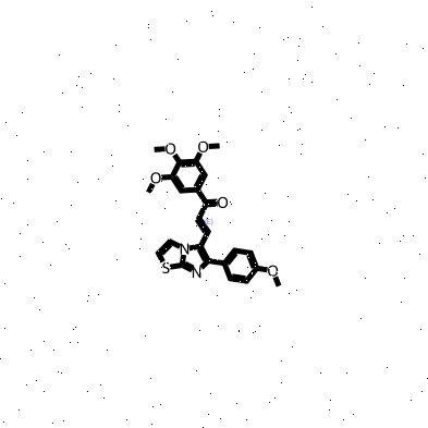 COc1ccc(-c2nc3sccn3c2/C=C/C(=O)c2cc(OC)c(OC)c(OC)c2)cc1